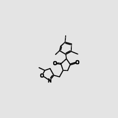 Cc1cc(C)c(C2C(=O)CC(CC3=NOC(C)C3)C2=O)c(C)c1